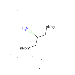 CCCCCCCCCCC(Cl)CCCCCCCCCC.N